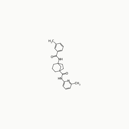 Cc1cccc(C(=O)NC23CCCC(C(=O)Nc4cccc(C)n4)(CC2)C3)c1